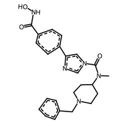 CN(C(=O)n1cnc(-c2ccc(C(=O)NO)cc2)c1)C1CCN(Cc2ccccc2)CC1